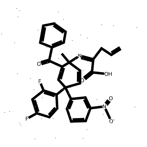 C=CCC(=NC1(C)C=CC(c2cccc([N+](=O)[O-])c2)(c2ccc(F)cc2F)C=C1C(=O)c1ccccc1)C(=O)O